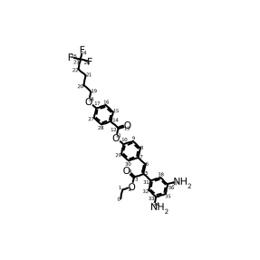 CCOC(=O)C(=Cc1ccc(OC(=O)c2ccc(OCCCCC(F)(F)F)cc2)cc1)c1cc(N)cc(N)c1